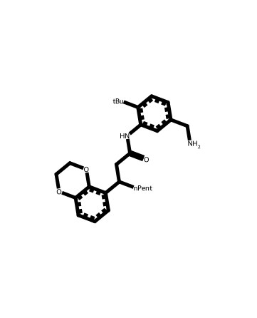 CCCCCC(CC(=O)Nc1cc(CN)ccc1C(C)(C)C)c1cccc2c1OCCO2